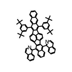 CC(C)(C)c1cc(-c2c3c(c(-c4cc(C(C)(C)C)cc(C(C)(C)C)c4)c4cc5ccccc5cc24)-c2ccc4c5c(ccc-3c25)-c2c-4c(-c3nccc4ccccc34)c3ccccc3c2-c2nccc3ccccc23)cc(C(C)(C)C)c1